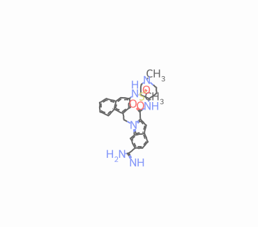 CN1CCC(NC(=O)c2cc3ccc(C(=N)N)cc3n2Cc2cc(NS(C)(=O)=O)cc3ccccc23)CC1